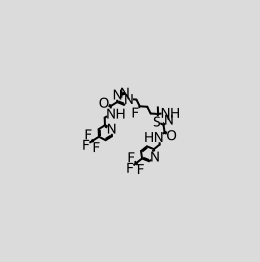 CC1(CCC(F)Cn2cc(C(=O)NCc3cc(C(F)(F)F)ccn3)nn2)NN=C(C(=O)NCc2ccc(C(F)(F)F)cn2)S1